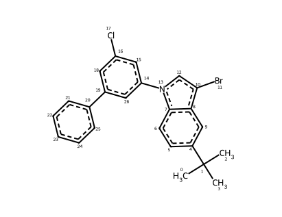 CC(C)(C)c1ccc2c(c1)c(Br)cn2-c1cc(Cl)cc(-c2ccccc2)c1